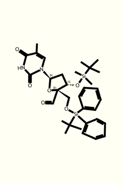 Cc1cn([C@H]2C[C@H](O[Si](C)(C)C(C)(C)C)[C@@](C=O)(CO[Si](c3ccccc3)(c3ccccc3)C(C)(C)C)O2)c(=O)[nH]c1=O